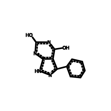 Oc1nc(O)c2c(-c3ccccc3)n[nH]c2n1